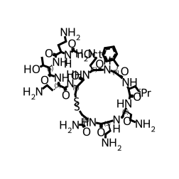 CCCCCCCCC(=O)NC(CCN)C(=O)N[C@H](C(=O)N[C@@H](CCN)C(=O)N[C@H]1CSSC[C@@H](C(N)=O)NC(=O)[C@H](CCN)NC(=O)[C@H](CCN)NC(=O)C(CC(C)C)NC(=O)[C@@H](Cc2ccccc2)NC(=O)[C@H](CCN)NC1=O)C(C)O